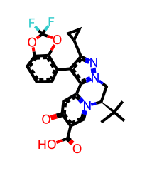 CC(C)(C)[C@@H]1Cn2nc(C3CC3)c(-c3cccc4c3OC(F)(F)O4)c2-c2cc(=O)c(C(=O)O)cn21